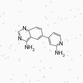 Nc1cc(-c2ccc3ncnc(N)c3c2)ccn1